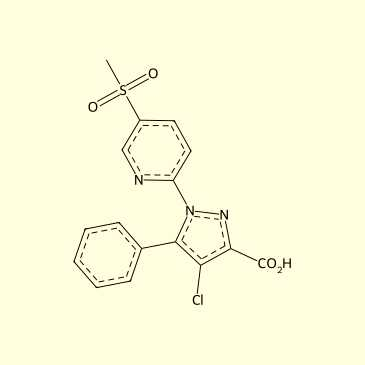 CS(=O)(=O)c1ccc(-n2nc(C(=O)O)c(Cl)c2-c2ccccc2)nc1